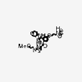 COCCN(C)c1nc(C(=O)Nc2ccc(OCCCNS(C)(=O)=O)cc2C(=O)NC2CCOCC2)cs1